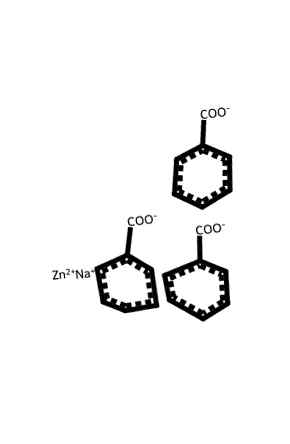 O=C([O-])c1ccccc1.O=C([O-])c1ccccc1.O=C([O-])c1ccccc1.[Na+].[Zn+2]